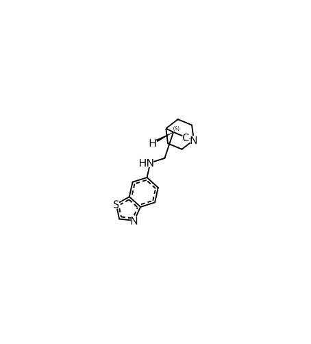 c1nc2ccc(NC[C@H]3CN4CCC3CC4)cc2s1